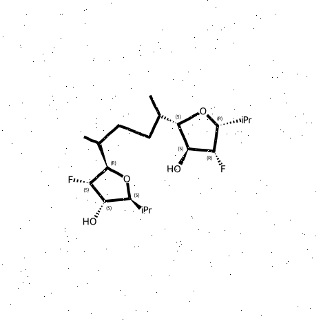 CC(C)[C@H]1O[C@@H](C(C)CCC(C)[C@H]2O[C@@H](C(C)C)[C@H](O)[C@@H]2F)[C@H](O)[C@H]1F